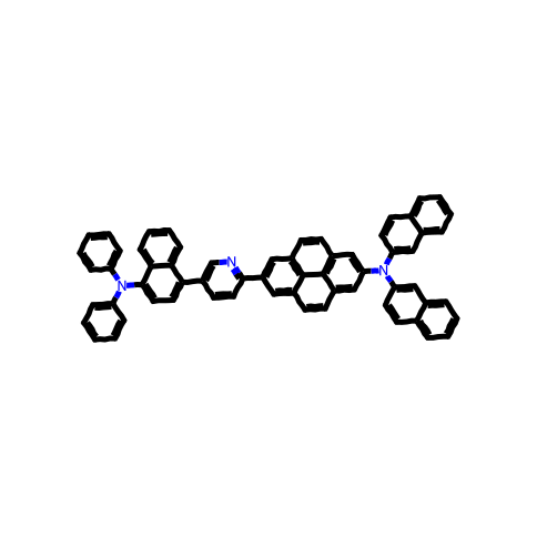 c1ccc(N(c2ccccc2)c2ccc(-c3ccc(-c4cc5ccc6cc(N(c7ccc8ccccc8c7)c7ccc8ccccc8c7)cc7ccc(c4)c5c67)nc3)c3ccccc23)cc1